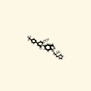 Cl.O=c1cc(-c2ccc(C(F)(F)F)cc2)ccn1-c1ccc2c(cnn2C[C@H](O)CN2CCCC2)c1